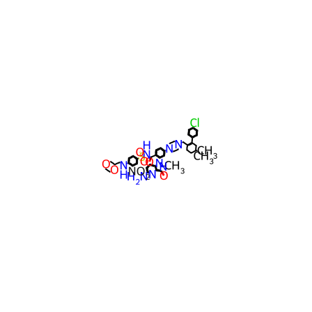 Cn1c(=O)c2nc(N)ccc2n1-c1cc(N2CCN(CC3=C(c4ccc(Cl)cc4)CC(C)(C)CC3)CC2)ccc1C(=O)NS(=O)(=O)c1ccc(NCC2COCCO2)c([N+](=O)[O-])c1